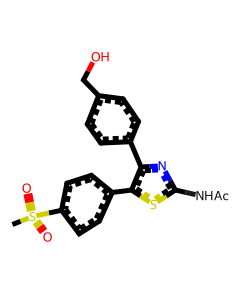 CC(=O)Nc1nc(-c2ccc(CO)cc2)c(-c2ccc(S(C)(=O)=O)cc2)s1